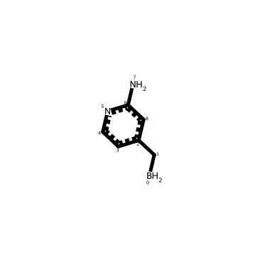 BCc1ccnc(N)c1